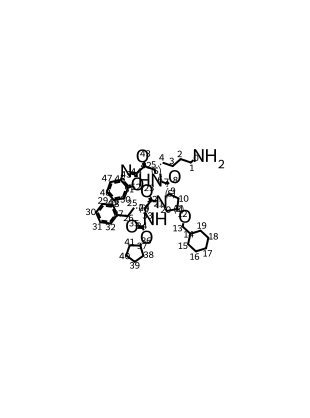 NCCCC[C@H](NC(=O)[C@@H]1C[C@@H](OCC2CCCCC2)CN1C(=O)[C@@H](CCc1ccccc1)NC(=O)OC1CCCC1)C(=O)c1nc2ccccc2o1